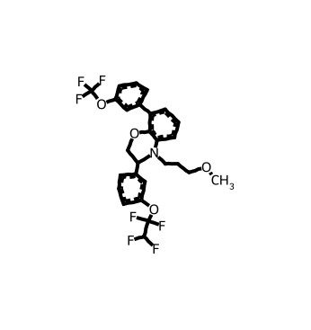 COCCCN1c2cccc(-c3cccc(OC(F)(F)F)c3)c2OCC1c1cccc(OC(F)(F)C(F)F)c1